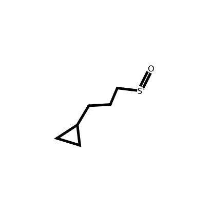 O=[S+]CCCC1CC1